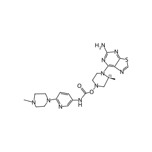 C[C@H]1CN(OC(=O)Nc2ccc(N3CCN(C)CC3)nc2)CCN1c1nc(N)nc2scnc12